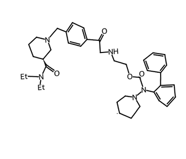 CCN(CC)C(=O)[C@H]1CCCN(Cc2ccc(C(=O)CNCCOC(=O)N(c3ccccc3-c3ccccc3)N3CC[CH]CC3)cc2)C1